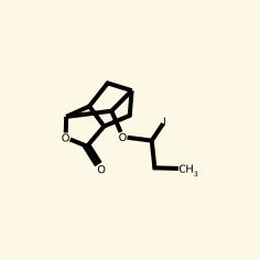 CCC(I)OC1C2CC3C(=O)OC1C3C2